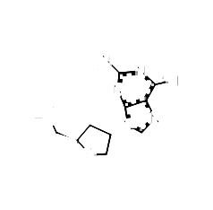 Nc1nc(Cl)c2ncn([C@@H]3CO[C@@H](CO)C3)c2n1